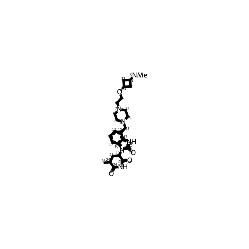 CNC1CC(OCCN2CCN(Cc3cccc4c3[nH]c(=O)n4C3CC(C)C(=O)NC3=O)CC2)C1